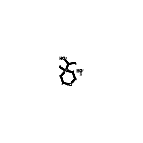 CC(O)[N+]1(C)CCOCC1.[OH-]